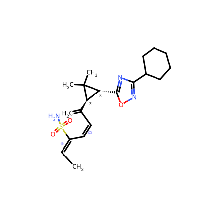 C=C(/C=C\C(=C/C)S(N)(=O)=O)[C@@H]1[C@@H](c2nc(C3CCCCC3)no2)C1(C)C